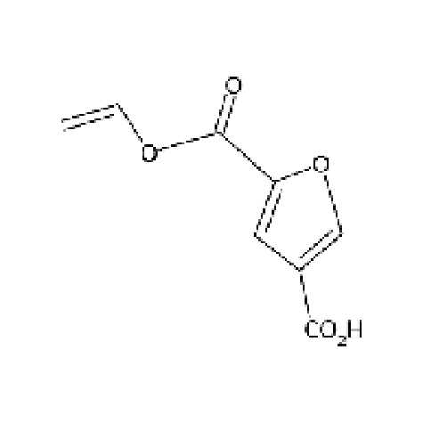 C=COC(=O)c1cc(C(=O)O)co1